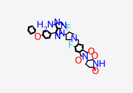 Nc1ncnc2c1c(-c1ccc(Oc3ccccc3)cc1)nn2C1CCN(Cc2cc3c(cc2F)C(=O)N(C2CCC(=O)NC2=O)C3=O)CC1F